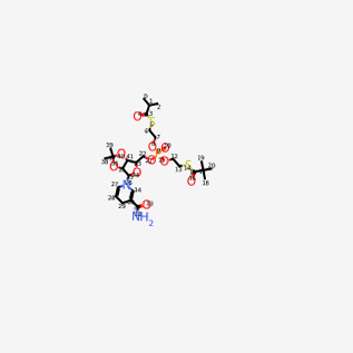 CC(C)C(=O)SCCOP(=O)(OCCSC(=O)C(C)(C)C)OCC1OC(N2C=CCC(C(N)=O)=C2)C2OC(C)(C)OC12